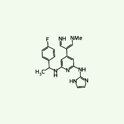 CN/C=C(\C=N)c1cc(Nc2ncc[nH]2)nc(NC(C)c2ccc(F)cc2)c1